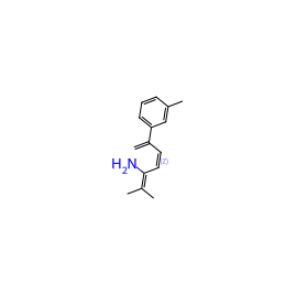 C=C(/C=C\C(N)=C(C)C)c1cccc(C)c1